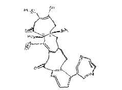 CC1=C(O)C[C@@H]2CC3Cc4c(cccc4-c4cnccn4)C(=O)C3=C(O)[C@]2(O)C1=O